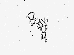 O=C(Nc1cccnc1F)c1nn(-c2ccc(F)cc2F)c2c1C[C@H]1C[C@@H]21